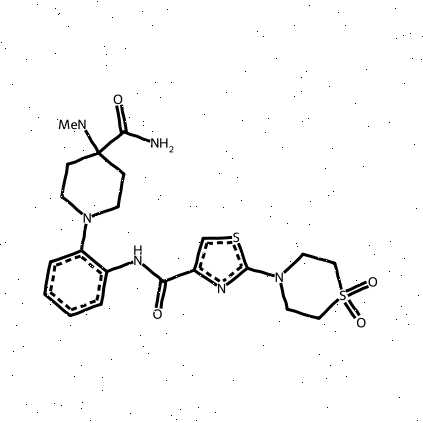 CNC1(C(N)=O)CCN(c2ccccc2NC(=O)c2csc(N3CCS(=O)(=O)CC3)n2)CC1